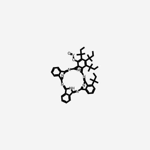 CCC(C)(C)c1cccc2c1-c1nc-2nc2[nH]c(nc3nc(nc4[nH]c(n1)c1c(C(C)(C)CC)c(C(C)(C)CC)c(C(C)(C)CC)c([O][V]=[O])c41)-c1ccccc1-3)c1ccccc21